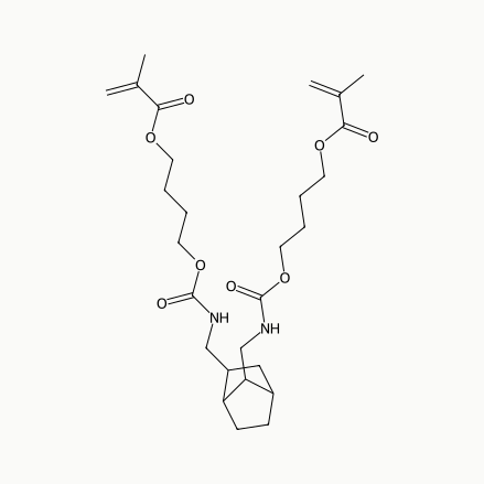 C=C(C)C(=O)OCCCCOC(=O)NCC1CC2CCC1C2CNC(=O)OCCCCOC(=O)C(=C)C